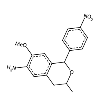 COc1cc2c(cc1N)CC(C)OC2c1ccc([N+](=O)[O-])cc1